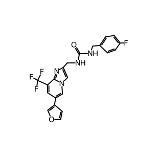 O=C(NCc1ccc(F)cc1)NCc1cn2cc(-c3ccoc3)cc(C(F)(F)F)c2n1